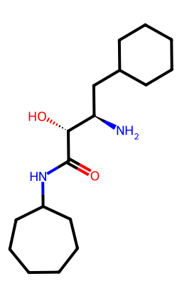 N[C@H](CC1CCCCC1)[C@@H](O)C(=O)NC1CCCCCC1